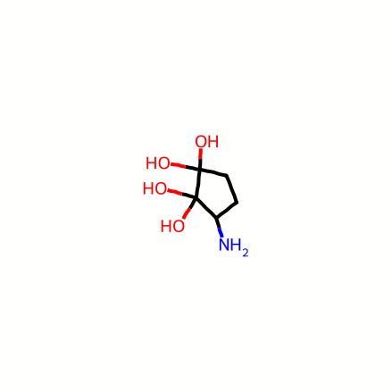 NC1CCC(O)(O)C1(O)O